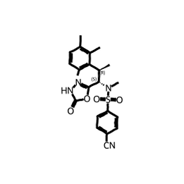 Cc1ccc(C)c([C@@H](C)[C@@H](c2n[nH]c(=O)o2)N(C)S(=O)(=O)c2ccc(C#N)cc2)c1C